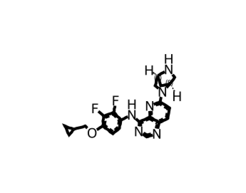 Fc1c(Nc2ncnc3ccc(N4C[C@@H]5C[C@H]4CN5)nc23)ccc(OCC2CC2)c1F